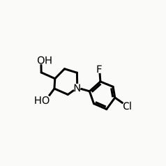 OCC1CCN(c2ccc(Cl)cc2F)CC1O